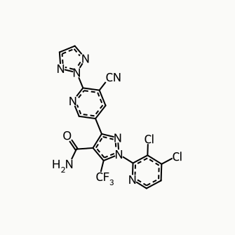 N#Cc1cc(-c2nn(-c3nccc(Cl)c3Cl)c(C(F)(F)F)c2C(N)=O)cnc1-n1nccn1